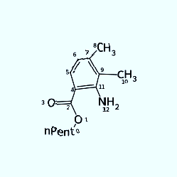 CCCCCOC(=O)c1ccc(C)c(C)c1N